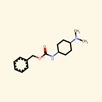 CN(C)[C@H]1CC[C@@H](NC(=O)OCc2ccccc2)CC1